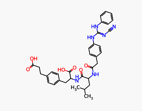 CC(C)CC(NC(=O)Cc1ccc(NC(=NC#N)Nc2ccccc2)cc1)C(=O)NC(Cc1ccc(CCC(=O)O)cc1)C(=O)O